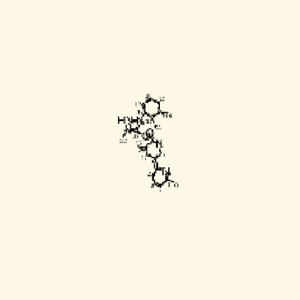 Cc1cccc(-c2cnc(OCc3c(C)cccc3-n3[nH]n(C)c3=O)c(C)c2)n1